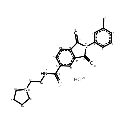 Cc1cccc(N2C(=O)c3ccc(C(=O)NCCN4CCCC4)cc3C2=O)c1.Cl